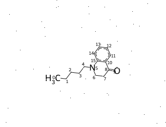 CCCCCN1CCC(=O)c2ccccc21